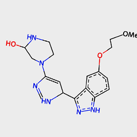 COCCOc1ccc2[nH]nc(C3C=C(N4CCNC(O)C4)N=CN3)c2c1